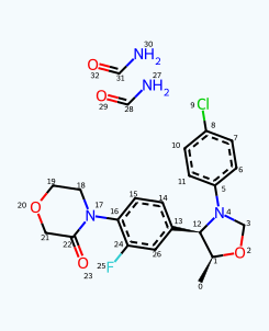 C[C@@H]1OCN(c2ccc(Cl)cc2)[C@@H]1c1ccc(N2CCOCC2=O)c(F)c1.NC=O.NC=O